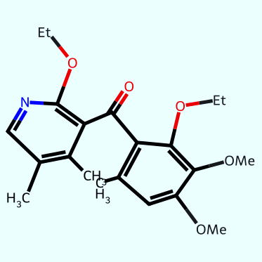 CCOc1ncc(C)c(C)c1C(=O)c1c(C)cc(OC)c(OC)c1OCC